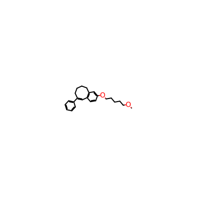 COCCCCCOc1ccc2c(c1)CCCC/C(c1ccccc1)=C\2